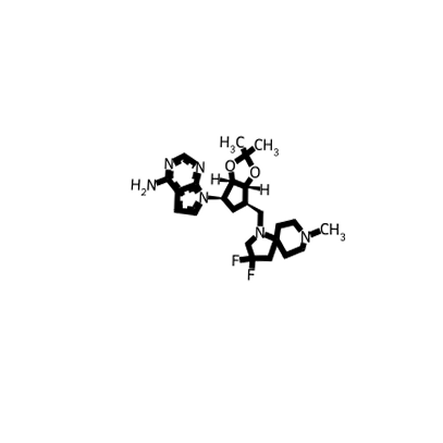 CN1CCC2(CC1)CC(F)(F)CN2C[C@H]1C[C@@H](n2ccc3c(N)ncnc32)[C@@H]2OC(C)(C)O[C@H]12